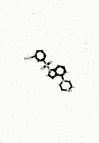 COc1cccc(S(=O)(=O)n2ccc3c(N4CCNCC4)cccc32)c1